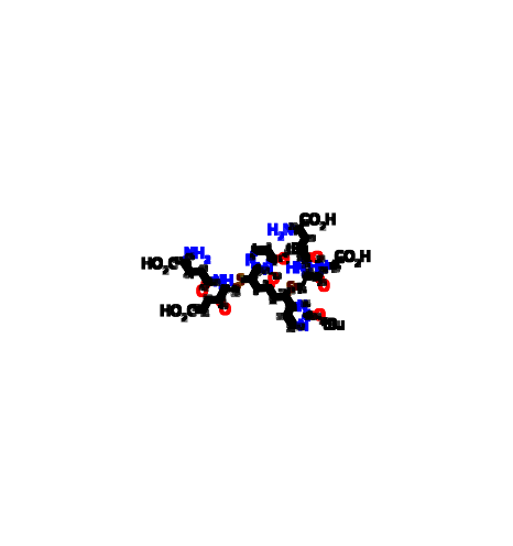 CC(C)(C)Oc1ccnc(C(CC(=O)CC(SC[C@H](NC(=O)CC[C@H](N)C(=O)O)C(=O)NCC(=O)O)c2ccnc(OC(C)(C)C)n2)SC[C@H](NC(=O)CC[C@@H](N)C(=O)O)C(=O)CCC(=O)O)n1